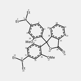 CCN(CC)c1ccc(C2(c3ccc(N(CC)CC)cc3OC)OC(=O)c3nccnc32)c(OC)c1